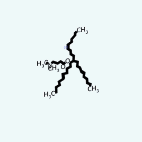 CCCCCC=CCCCC(CCC/C=C\CCCCC)C(CCCC=CCCCCC)OC(=O)CCCN(C)C